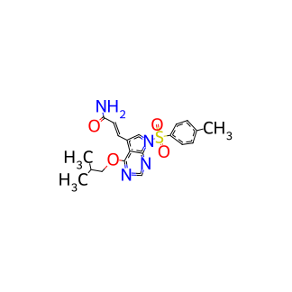 Cc1ccc(S(=O)(=O)n2cc(C=CC(N)=O)c3c(OCC(C)C)ncnc32)cc1